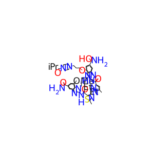 CCc1nc(C)sc1C(=O)Nc1nc2cc(C(N)=O)cc(OC)c2n1C/C=C/Cn1c(NC(=O)c2cc(C)nn2CC)nc2cc(C(N)O)cc(OCCCN3CCN(C(=O)C(C)C)CC3)c21